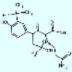 CC(C)(C)CC(C(=O)C(CCCC(N)=O)C(N)=O)c1ccc(O)c(C(C)(C)C)c1